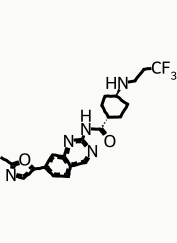 Cc1ncc(-c2ccc3cnc(NC(=O)[C@H]4CC[C@H](NCCC(F)(F)F)CC4)nc3c2)o1